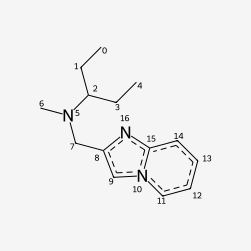 CCC(CC)N(C)Cc1cn2ccccc2n1